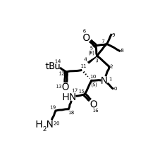 CN(C[C@]1(C)C(=O)C1(C)C)[C@@H](CC(=O)C(C)(C)C)C(=O)NCCN